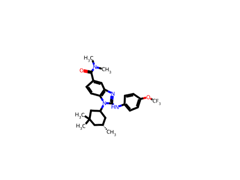 C[C@H]1CC(n2c(Nc3ccc(OC(F)(F)F)cc3)nc3cc(C(=O)N(C)C)ccc32)CC(C)(C)C1